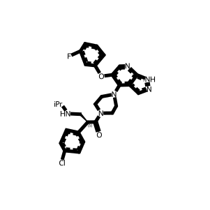 CC(C)NC[C@@H](C(=O)N1CCN(c2c(Oc3cccc(F)c3)cnc3[nH]ncc23)CC1)c1ccc(Cl)cc1